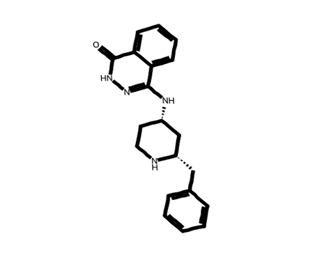 O=c1[nH]nc(N[C@H]2CCN[C@@H](Cc3ccccc3)C2)c2ccccc12